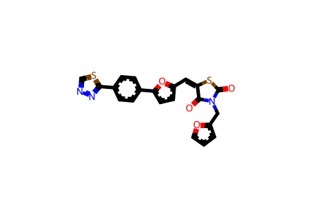 O=C1S/C(=C/c2ccc(-c3ccc(-c4nncs4)cc3)o2)C(=O)N1Cc1ccco1